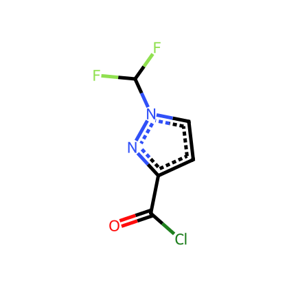 O=C(Cl)c1ccn(C(F)F)n1